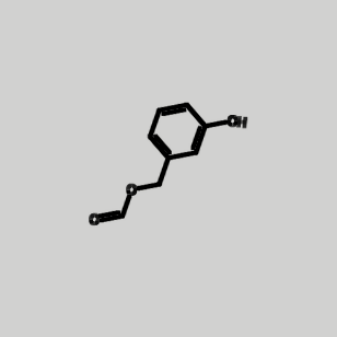 O=COCc1cccc(O)c1